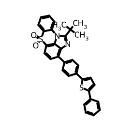 CC(C)(C)c1nc2c(-c3ccc(-c4ccc(-c5ccccc5)s4)cc3)ccc3c2n1-c1ccccc1S3(=O)=O